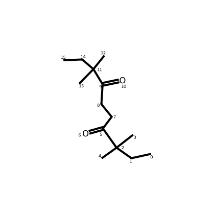 CCC(C)(C)C(=O)CCC(=O)C(C)(C)CC